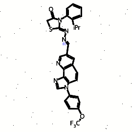 CC(C)c1ccccc1N1C(=O)CSC1=N/N=C/c1cnc2c(ccc3c2ncn3-c2ccc(OC(F)(F)F)cc2)c1